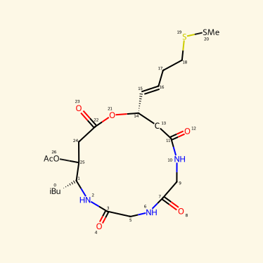 CC[C@@H](C)C1NC(=O)CNC(=O)CNC(=O)C[C@@H](/C=C/CCSSC)OC(=O)CC1OC(C)=O